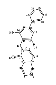 O=c1c2ccncc2ncn1Cc1c(F)cc(-c2ccccc2)cc1F